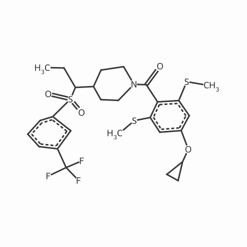 CCC(C1CCN(C(=O)c2c(SC)cc(OC3CC3)cc2SC)CC1)S(=O)(=O)c1cccc(C(F)(F)F)c1